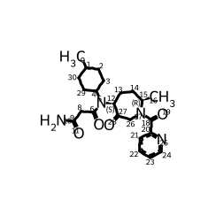 CC1CCC(N(C(=O)CC(N)=O)[C@H]2CC[C@@H](C)N(C(=O)c3ccccn3)CC2=O)CC1